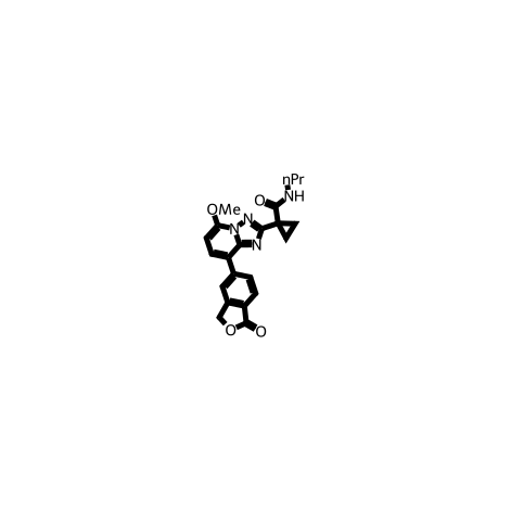 CCCNC(=O)C1(c2nc3c(-c4ccc5c(c4)COC5=O)ccc(OC)n3n2)CC1